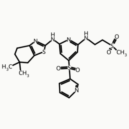 CC1(C)CCc2nc(Nc3cc(S(=O)(=O)c4cccnc4)cc(NCCS(C)(=O)=O)n3)sc2C1